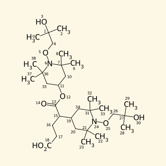 CC(C)(O)CON1C(C)(C)CC(OC(=O)C(CCC(=O)O)C2CC(C)(C)N(OCC(C)(C)O)C(C)(C)C2)CC1(C)C